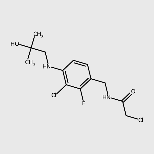 CC(C)(O)CNc1ccc(CNC(=O)CCl)c(F)c1Cl